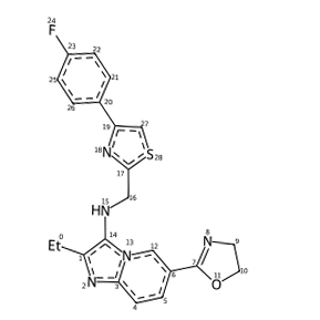 CCc1nc2ccc(C3=NCCO3)cn2c1NCc1nc(-c2ccc(F)cc2)cs1